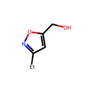 CCc1cc(CO)on1